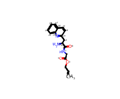 C=CCOC(=O)CNC(=O)C(N)Cc1ccc2ccccc2n1